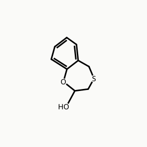 OC1CSCc2ccccc2O1